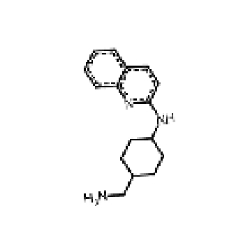 NCC1CCC(Nc2ccc3ccccc3n2)CC1